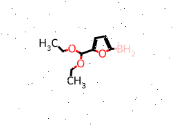 Bc1ccc(C(OCC)OCC)o1